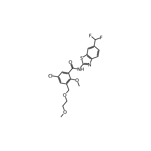 COCCOCc1cc(Cl)cc(C(=O)Nc2nc3ccc(C(F)F)cc3s2)c1OC